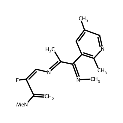 C=C(NC)\C(F)=C/N=C(C)/C(=N/C)c1cc(C)cnc1C